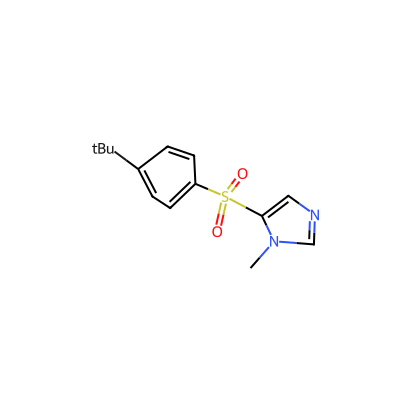 Cn1cncc1S(=O)(=O)c1ccc(C(C)(C)C)cc1